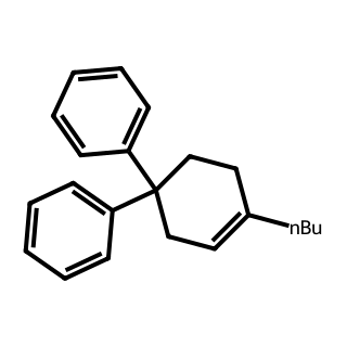 CCCCC1=CCC(c2ccccc2)(c2ccccc2)CC1